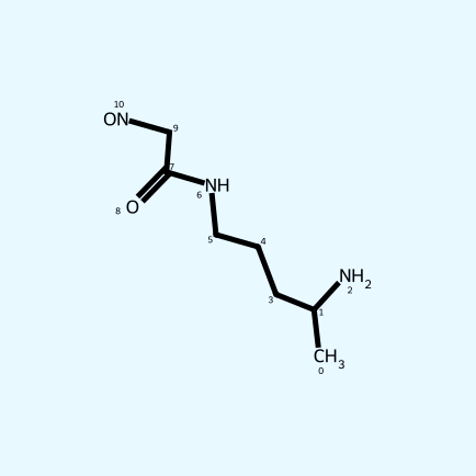 CC(N)CCCNC(=O)CN=O